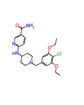 CCOc1cc(CN2CCC(Nc3ccc(C(N)=O)cn3)CC2)cc(OCC)c1Cl